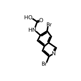 O=C(O)Nc1cc2cc(Br)ncc2cc1Br